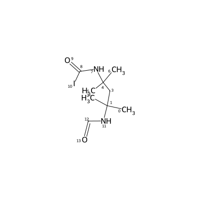 CC(C)(CC(C)(C)NC(=O)I)NC=O